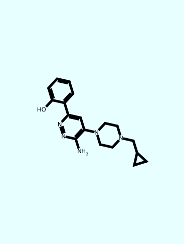 Nc1nnc(-c2ccccc2O)cc1N1CCN(CC2CC2)CC1